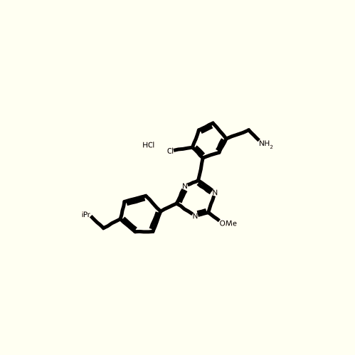 COc1nc(-c2ccc(CC(C)C)cc2)nc(-c2cc(CN)ccc2Cl)n1.Cl